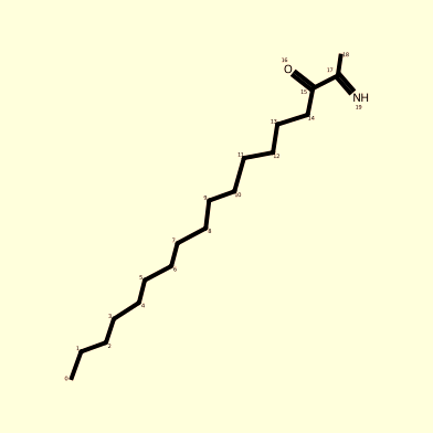 CCCCCCCCCCCCCCCC(=O)C(C)=N